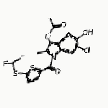 CC(=O)Oc1c(C)n(C(=O)c2ccc(SC(F)F)s2)c2cc(Cl)c(O)cc12